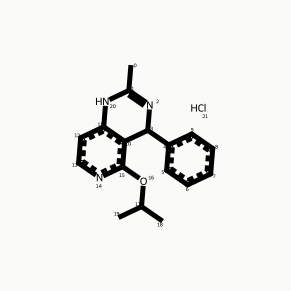 CC1=NC(c2ccccc2)c2c(ccnc2OC(C)C)N1.Cl